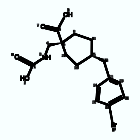 O=C(O)NC[C@]1(C(=O)O)CC[C@H](Cc2ccc(Br)cc2)CC1